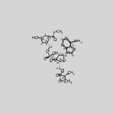 CCC(=O)N1C[C@H](O)C[C@H]1COP(=O)(O)O[C@H]1C[C@H](n2cnc3c(N)ncnc32)O[C@@H]1COP(=O)(O)C(C)C